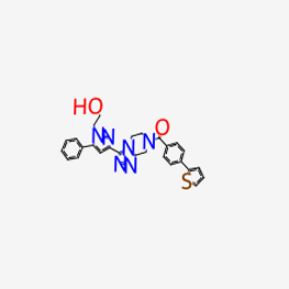 O=C(c1ccc(-c2cccs2)cc1)N1CCn2c(nnc2-c2cc(-c3ccccc3)n(CCO)n2)C1